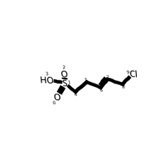 O=S(=O)(O)CCC=CCCl